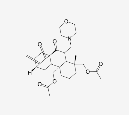 C=C1C(=O)[C@]23CC[C@H]1CC2[C@]1(COC(C)=O)CCC[C@@](C)(COC(C)=O)C1C(CN1CCOCC1)C3=O